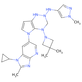 Cc1nc2ncc(-n3ccc4c3N(N3CC(C)(C)C3)CN(Nc3cnn(C)c3)N4)cc2n1C1CC1